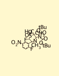 CC(C)(C)OC(=O)N(C(=O)OC(C)(C)C)C1=NC(C)(c2cc([N+](=O)[O-])ccc2F)C(F)S(=O)(=O)C1(C)C